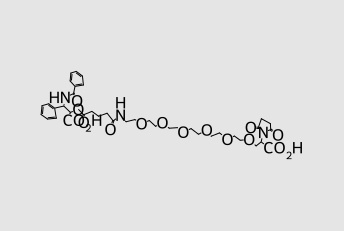 O=C(CCCC(=O)O[C@@H](C(=O)O)[C@@H](NC(=O)c1ccccc1)c1ccccc1)NCCOCCOCCOCCOCCOCCOCC(C(=O)O)N1C(=O)CCC1=O